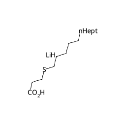 CCCCCCCCCCCCSCCC(=O)O.[LiH]